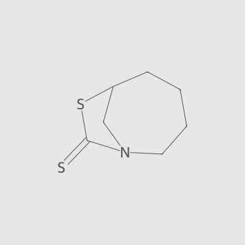 S=C1SC2CCCCN1C2